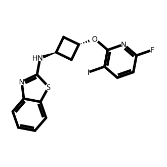 Fc1ccc(I)c(O[C@H]2C[C@H](Nc3nc4ccccc4s3)C2)n1